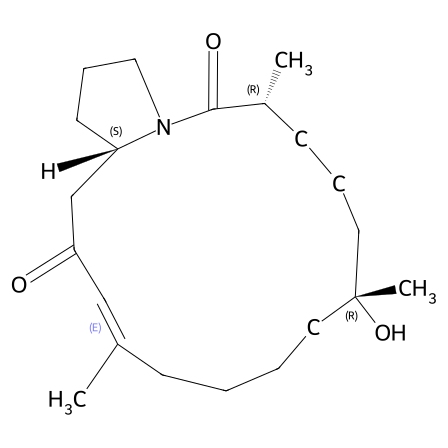 C/C1=C\C(=O)C[C@@H]2CCCN2C(=O)[C@H](C)CCC[C@](C)(O)CCCC1